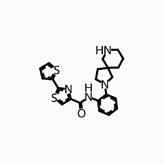 O=C(Nc1ccccc1N1CCC2(CCCNC2)C1)c1csc(-c2cccs2)n1